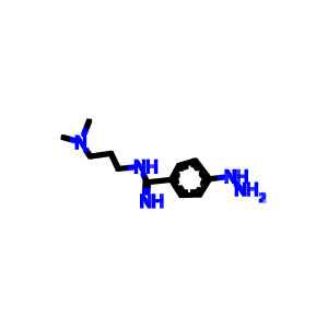 CN(C)CCCNC(=N)c1ccc(NN)cc1